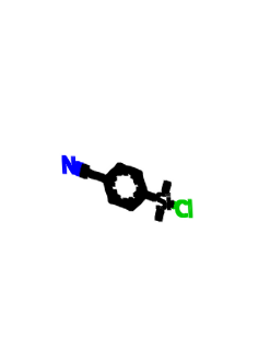 C[Si](C)(Cl)c1ccc(C#N)cc1